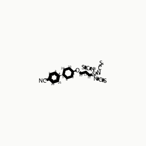 N#Cc1ccc([C@H]2CC[C@H](OCCC[Si](N=C=S)(N=C=S)N=C=S)CC2)cc1